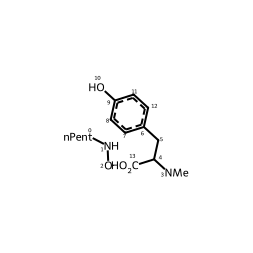 CCCCCN[O].CNC(Cc1ccc(O)cc1)C(=O)O